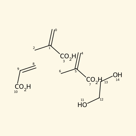 C=C(C)C(=O)O.C=C(C)C(=O)O.C=CC(=O)O.OCCO